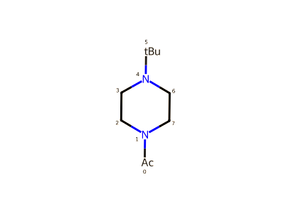 [CH2]C(=O)N1CCN(C(C)(C)C)CC1